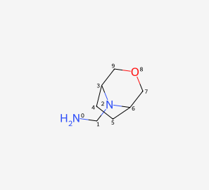 NCN1C2CCC1COC2